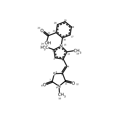 Cc1cc(/C=C2\SC(=O)N(C)C2=O)c(C)n1-c1ccccc1C(=O)O